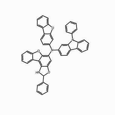 c1ccc(C2Nc3c(cc(N(c4ccc5c(c4)oc4ccccc45)c4ccc5c6ccccc6n(-c6ccccc6)c5c4)c4oc5ccccc5c34)O2)cc1